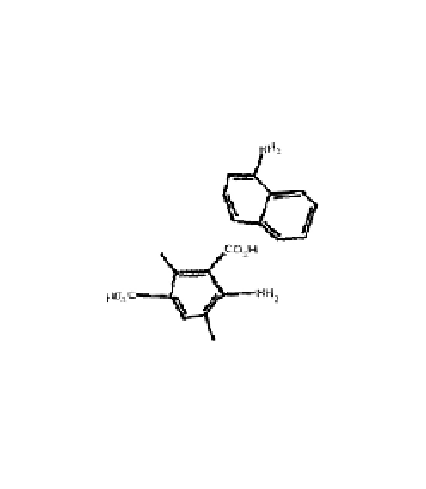 Cc1cc(C(=O)O)c(C)c(C(=O)O)c1N.Nc1cccc2ccccc12